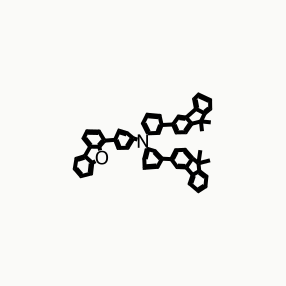 CC1(C)c2ccccc2-c2cc(-c3cccc(N(c4ccc(-c5cccc6c5oc5ccccc56)cc4)c4cccc(-c5ccc6c(c5)-c5ccccc5C6(C)C)c4)c3)ccc21